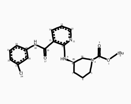 CC(C)(C)OC(=O)N1CCC[C@@H](Nc2ncccc2C(=O)Nc2cccc(Cl)c2)C1